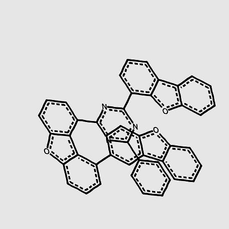 c1ccc(-c2nc(-c3cccc4c3oc3ccccc34)nc(-c3cccc4oc5cccc(-c6ccc7oc8ccccc8c7c6)c5c34)n2)cc1